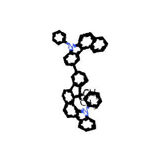 CC1(C)c2ccc(-c3ccc4c(c3)c3c5ccccc5ccc3n4-c3ccccc3)cc2-c2ccc3ccc4c5ccccc5n(-c5ccccc5)c4c3c21